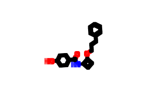 O=C(N[C@@H]1CCC1OCCCc1ccccc1)C1CCC(O)CC1